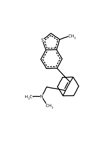 Cc1csc2ccc(C3=C(CN(C)C)C4CCC3CC4)cc12